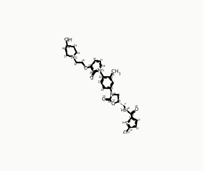 Cc1cc(N2C[C@H](CNC(=O)c3ccc(Cl)s3)OC2=O)ccc1-n1cccc(OCCN2CCC(O)CC2)c1=O